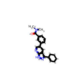 CN(C)C(=O)c1cccc(-c2cnc3[nH]nc(C4=CCCCC4)c3c2)c1